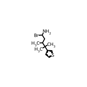 CC(CC(N)Br)C(C)(C)c1ccsc1